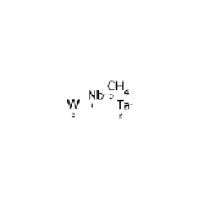 C.[Nb].[Ta].[W]